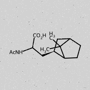 CC(=O)NC(C[C@H]1CC2CCC1C2(C)C)C(=O)O